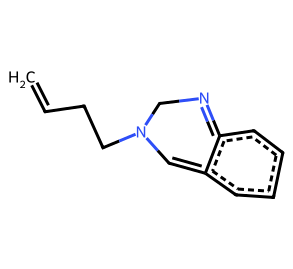 C=CCCN1C=c2ccccc2=NC1